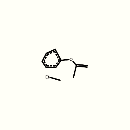 C=C(C)Oc1ccccc1.CCC